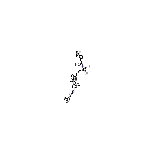 COc1cc(/C=C/C(=O)OCCO[N+](=O)[O-])ccc1OC(=O)C(C)NC(=O)CCC/C=C\C[C@@H]1[C@@H](/C=C/[C@@H](O)CCc2cccc(C(F)(F)F)c2)[C@H](O)C[C@@H]1O